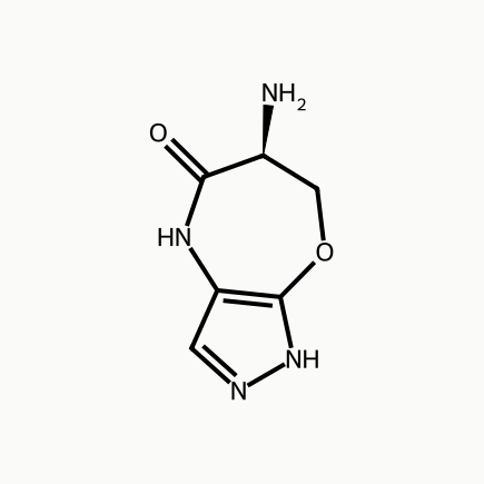 N[C@H]1COc2[nH]ncc2NC1=O